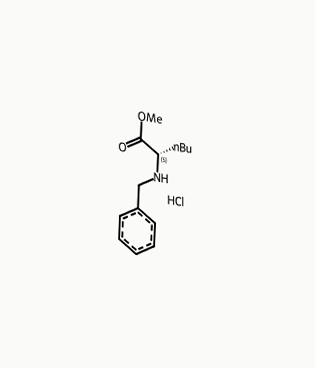 CCCC[C@H](NCc1ccccc1)C(=O)OC.Cl